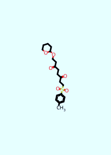 Cc1ccc(S(=O)(=O)CCC(=O)CCC(=O)CCOC2CCCCO2)cc1